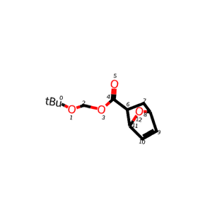 CC(C)(C)OCOC(=O)C1CC2C=CC1O2